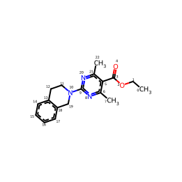 CCOC(=O)c1c(C)nc(N2CCc3ccccc3C2)nc1C